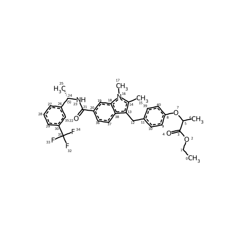 CCOC(=O)C(C)Oc1ccc(Cc2c(C)n(C)c3cc(C(=O)N[C@@H](C)c4cccc(C(F)(F)F)c4)ccc23)cc1